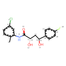 Cc1ccc(Cl)cc1NC(=O)[C@@H](O)C[C@H](O)c1ccc(F)cc1